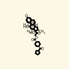 C[C@@H]1C[C@H]2[C@@H]3CCC4=CC(=O)C=C[C@]4(C)[C@@]3(F)[C@@H](O)C[C@]2(C)[C@@]1(O)C(=O)COC(=O)[C@H]1CC[C@H](C(=O)C2CCCC2)CC1